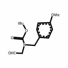 COc1ccc(CN(CC=O)C(=O)OC(C)(C)C)cc1